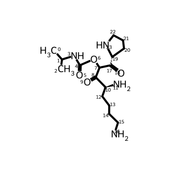 CC(C)NC(=O)OC(C(=O)[C@@H](N)CCCCN)C(=O)[C@H]1CCCN1